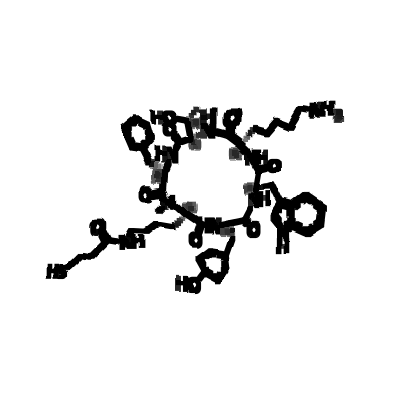 C[C@@H](O)[C@@H]1NC(=O)[C@H](CCCCCN)NC(=O)[C@@H](Cc2c[nH]c3ccccc23)NC(=O)[C@H](Cc2ccc(O)cc2)NC(=O)[C@H](CCCCNC(=O)CCS)N(C)C(=O)[C@H](Cc2ccccc2)NC1=O